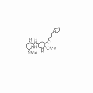 CNC1CCNC(NC2CNC(OC)C(OCCCN3CCCC3)C2)N1